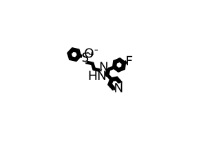 [O-][S+](CCCc1nc(-c2ccc(F)cc2)c(-c2ccncc2)[nH]1)c1ccccc1